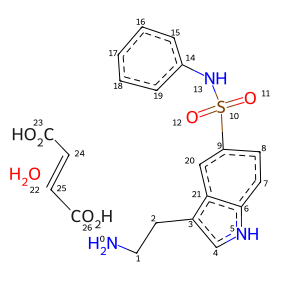 NCCc1c[nH]c2ccc(S(=O)(=O)Nc3ccccc3)cc12.O.O=C(O)C=CC(=O)O